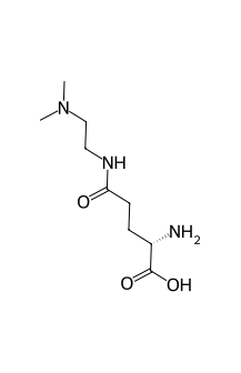 CN(C)CCNC(=O)CC[C@H](N)C(=O)O